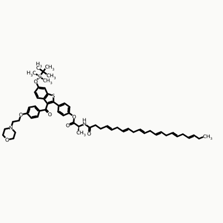 CCC=CCC=CCC=CCC=CCC=CCC=CCCC(=O)N[C@@H](C)C(=O)Oc1ccc(-c2sc3cc(O[Si](C)(C)C(C)(C)C)ccc3c2C(=O)c2ccc(OCCN3CCOCC3)cc2)cc1